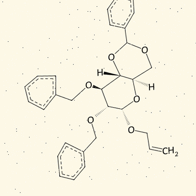 C=CCO[C@H]1O[C@@H]2COC(c3ccccc3)O[C@H]2[C@H](OCc2ccccc2)[C@H]1OCc1ccccc1